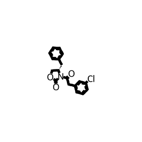 O=C(Cc1cccc(Cl)c1)N1C(=O)OC[C@@H]1Cc1ccccc1